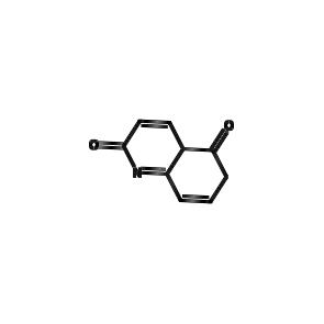 O=C1C=CC2C(=O)CC=CC2=N1